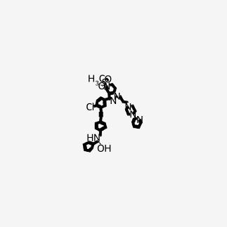 CS(=O)(=O)N1CCc2c(c(-c3ccc(Cl)c(C#Cc4ccc(CN[C@H](CO)c5ccccc5)cc4)c3)nn2CCCN2CCN(c3ccccn3)CC2)C1